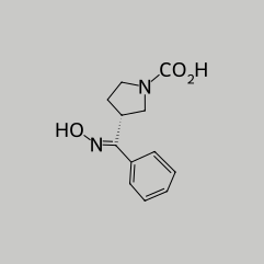 O=C(O)N1CC[C@@H](C(=NO)c2ccccc2)C1